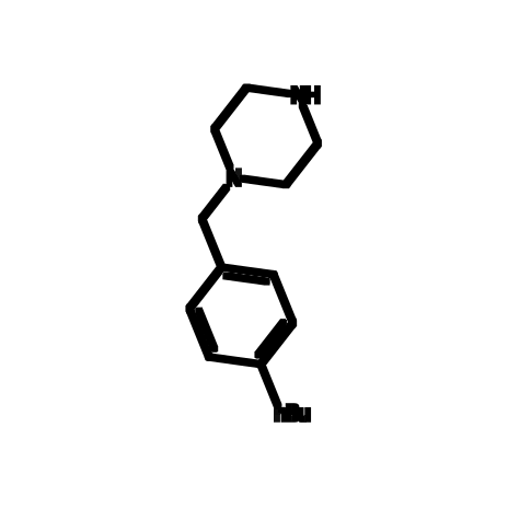 CCCCc1ccc(CN2CCNCC2)cc1